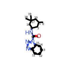 CC1CC(NC(=O)n2nnc3ccccc32)CC(C)(C)C1